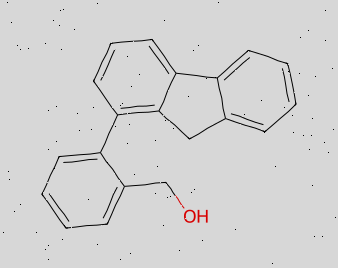 OCc1ccccc1-c1cccc2c1Cc1ccccc1-2